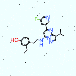 CCc1cc(O)ccc1CCNc1cc(-c2cncc(F)c2)nc2c(C(C)C)cnn12